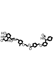 Cc1cc(CNCC(O)c2ccc(O)c3[nH]c(=O)ccc23)ccc1OCCOC(=O)c1ccc(COc2cccc(C(NC=O)c3ccccc3)c2)cc1